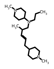 CCCN(CC(C)/C=C/CC1CCN(C)CC1)C1CCN(C)CC1